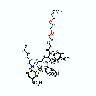 COCCOCCOCCOCCN1/C(=C/C=C/C2=[N+](CCCCCC(C)=O)c3ccc(S(=O)(=O)O)cc3C2(C)CCCS(=O)(=O)O)C(C)(CCCS(=O)(=O)O)c2cc(S(=O)(=O)O)ccc21